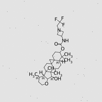 C[C@@H]1CCOC2[C@H]1C1(C)CCC34CC35CCC(OC(=O)NC3CN(CC(F)(F)F)C3)C(C)(C)[C@@H]5CCC4C1(C)[C@H]2O